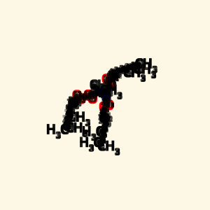 CC(C)=CCC/C(C)=C/CCC1=CCC(CCOC(=O)CCN(CCCCOC(=O)C2CC=C(CC/C=C(\C)CCC=C(C)C)CC2)CC(C)N(CCC=O)CCC(=O)OCCOC(=O)C2CC=C(CC/C=C(\C)CCC=C(C)C)CC2)CC1